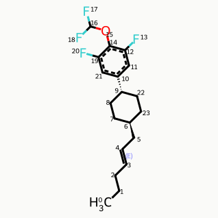 CCC/C=C/C[C@H]1CC[C@H](c2cc(F)c(OC(F)F)c(F)c2)CC1